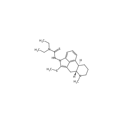 CCN(CC)C(=S)Nn1c(SC)c2c3c(cccc31)[C@H]1CCCN(C)[C@@H]1C2